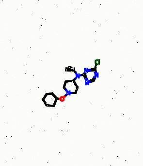 CCCCN(c1ncnc(Cl)n1)C1CCN(OC2CCCCC2)CC1